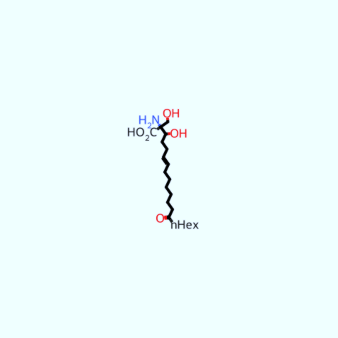 CCCCCCC(=O)CCCCCCC=CCCC(O)C(N)(CO)C(=O)O